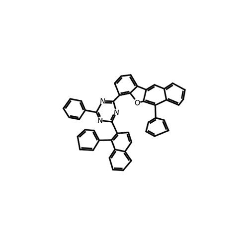 c1ccc(-c2nc(-c3ccc4ccccc4c3-c3ccccc3)nc(-c3cccc4c3oc3c(-c5ccccc5)c5ccccc5cc34)n2)cc1